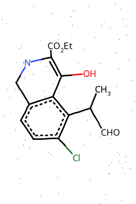 CCOC(=O)C1=C(O)c2c(ccc(Cl)c2C(C)C=O)C[N]1